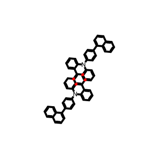 C1=CC(N(c2ccc(-c3cccc4ccccc34)cc2)c2ccccc2-c2ccc(-c3ccccc3N(c3ccccc3)c3ccc(-c4cccc5ccccc45)cc3)cc2)=CCC1